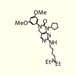 CCN(CC)CCCCNc1ncc2c(n1)N(C1CCCC1)C(=O)N(c1cc(OC)cc(OC)c1)C2